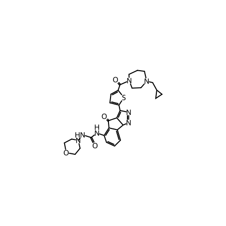 O=C(Nc1cccc2c1C(=O)C1=C(c3ccc(C(=O)N4CCCN(CC5CC5)CC4)s3)N=NC12)NN1CCOCC1